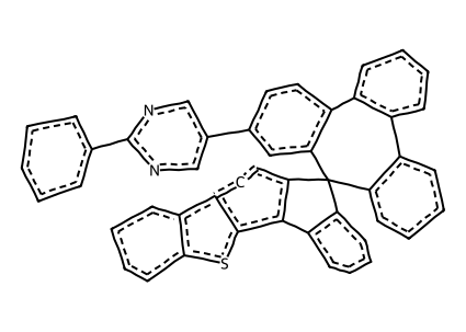 c1ccc(-c2ncc(-c3ccc4c(c3)C3(c5ccccc5-c5ccccc5-4)c4ccccc4-c4c3ccc3c4sc4ccccc43)cn2)cc1